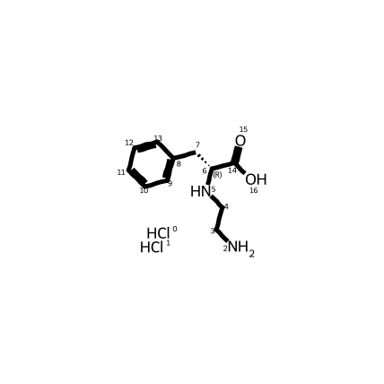 Cl.Cl.NCCN[C@H](Cc1ccccc1)C(=O)O